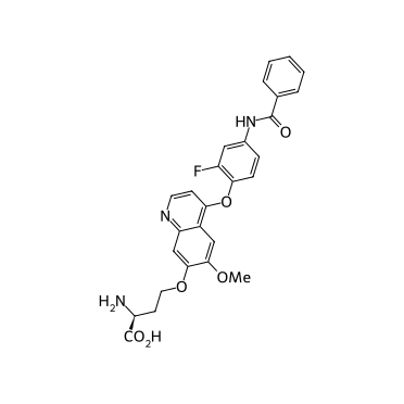 COc1cc2c(Oc3ccc(NC(=O)c4ccccc4)cc3F)ccnc2cc1OCC[C@H](N)C(=O)O